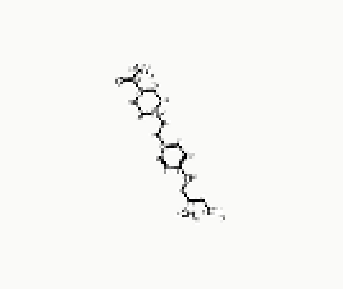 CC[C@H](C)COc1ccc([CH]CN2CCN(C(N)=O)CC2)cc1